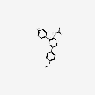 COc1ccc(-c2cnc(NC(C)=O)c(-c3ccc(O)cc3)n2)cc1